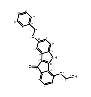 O=C1c2cccc(OCO)c2-c2[nH]c3ccc(OCc4ccccc4)cc3c21